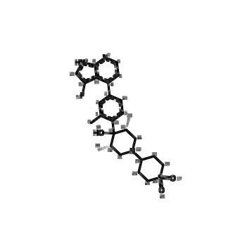 Cc1cc(-c2ccnc3[nH]cc(F)c23)ccc1C1(O)[C@H](C)CN(C2CCS(=O)(=O)CC2)C[C@@H]1C